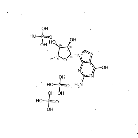 C[C@H]1O[C@@H](n2cnc3c(O)nc(N)nc32)[C@H](O)[C@@H]1O.O=P(O)(O)O.O=P(O)(O)O.O=P(O)(O)O